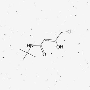 CC(C)(C)NC(=O)/C=C(\O)CCl